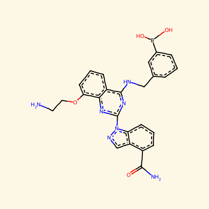 NCCOc1cccc2c(NCc3cccc(B(O)O)c3)nc(-n3ncc4c(C(N)=O)cccc43)nc12